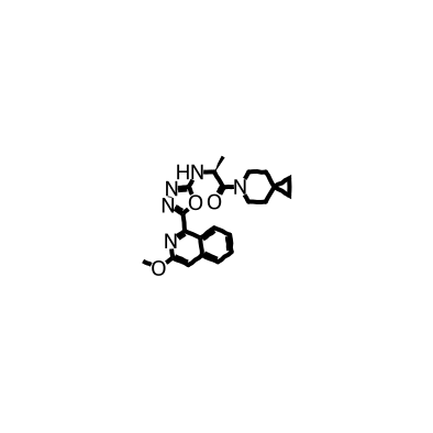 COc1cc2ccccc2c(-c2nnc(N[C@@H](C)C(=O)N3CCC4(CC3)CC4)o2)n1